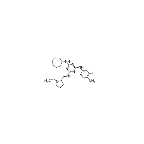 CCN1CCCC1CNc1nc(Nc2ccc(N)c(Cl)c2)nc(NC2CCCCCC2)n1